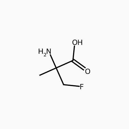 CC(N)(CF)C(=O)O